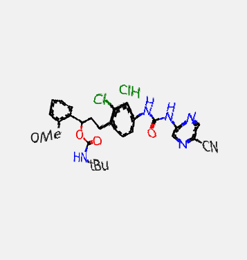 COc1ccccc1C(CCc1ccc(NC(=O)Nc2cnc(C#N)cn2)cc1Cl)OC(=O)NC(C)(C)C.Cl